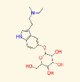 CCN(C)CCc1c[nH]c2ccc(OC3OC(CO)C(O)C(O)C3O)cc12